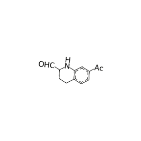 CC(=O)c1ccc2c(c1)NC(C=O)CC2